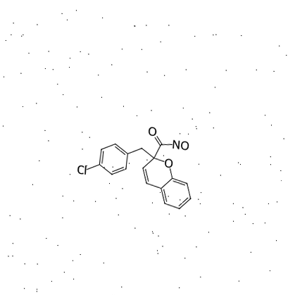 O=NC(=O)C1(Cc2ccc(Cl)cc2)C=Cc2ccccc2O1